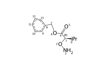 CC(C)[C@@H](ON)C(=O)OCc1ccccc1